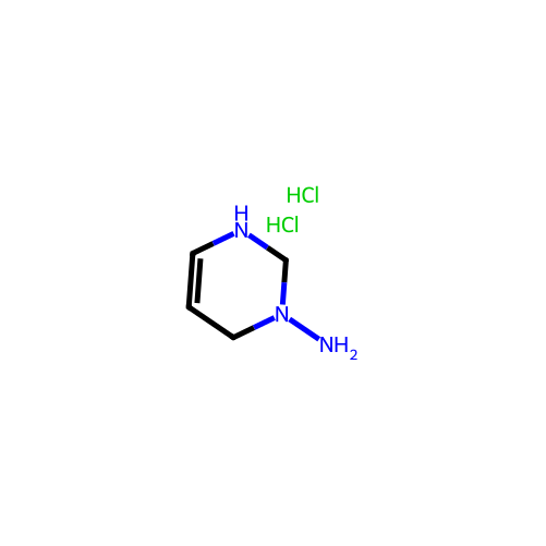 Cl.Cl.NN1CC=CNC1